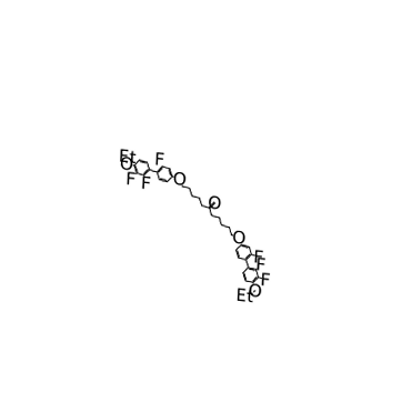 CCOc1ccc(-c2ccc(OCCCCCC(=O)CCCCCOc3ccc(-c4ccc(OCC)c(F)c4F)c(F)c3)cc2F)c(F)c1F